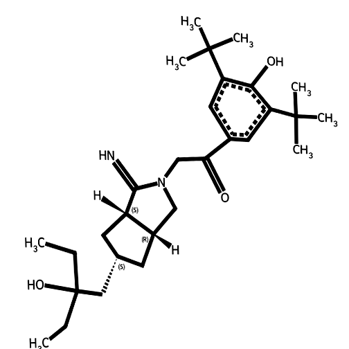 CCC(O)(CC)C[C@H]1C[C@H]2CN(CC(=O)c3cc(C(C)(C)C)c(O)c(C(C)(C)C)c3)C(=N)[C@H]2C1